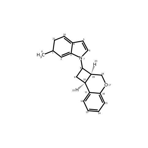 CC1C=c2c(ccn2C2C[C@@H]3c4ccccc4OC[C@H]23)=CC1